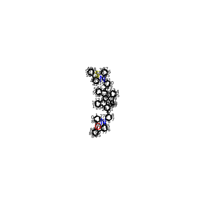 c1ccc(N(c2cccc(-c3ccc4c5c(c6ccccc6c4c3)-c3c(cc(-c4cccc(N(c6ccccc6)c6cccc7c6sc6ccccc67)c4)c4ccccc34)C53c4ccccc4-c4ccccc43)c2)c2cccc3c2oc2ccccc23)cc1